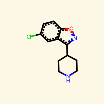 Clc1ccc2onc(C3CCNCC3)c2c1